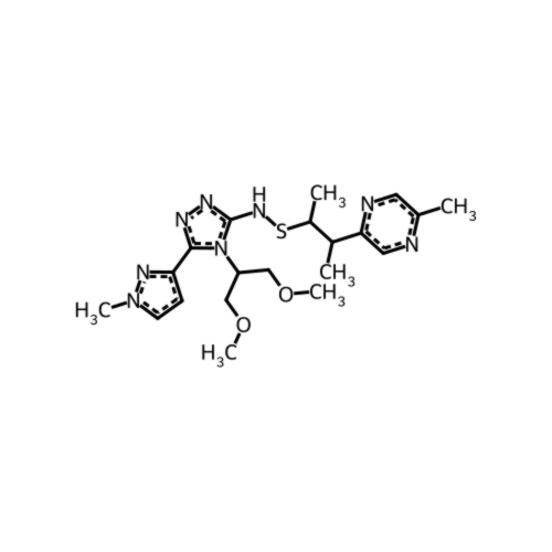 COCC(COC)n1c(NSC(C)C(C)c2cnc(C)cn2)nnc1-c1ccn(C)n1